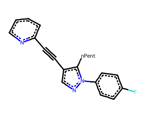 CCCCCc1c(C#Cc2ccccn2)cnn1-c1ccc(F)cc1